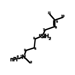 CCCN(C)CCC[SiH2]CC=C(C)C